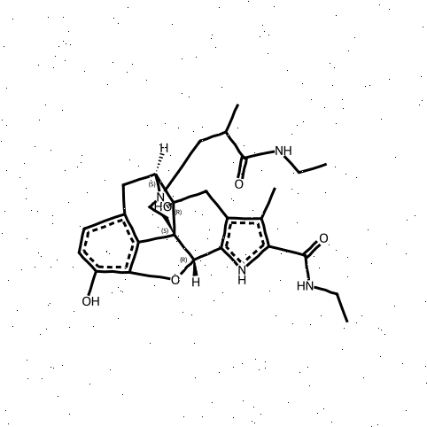 CCNC(=O)c1[nH]c2c(c1C)C[C@]1(O)[C@@H]3Cc4ccc(O)c5c4[C@@]1(CCN3CC(C)C(=O)NCC)[C@H]2O5